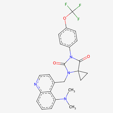 CN(C)c1cccc2nccc(CN3C(=O)N(c4ccc(OC(F)(F)F)cc4)C(=O)C34CC4)c12